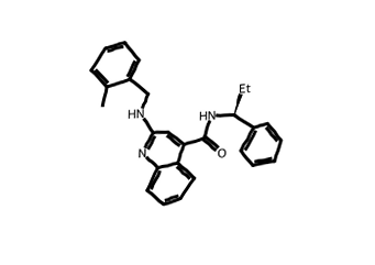 CC[C@H](NC(=O)c1cc(NCc2ccccc2C)nc2ccccc12)c1ccccc1